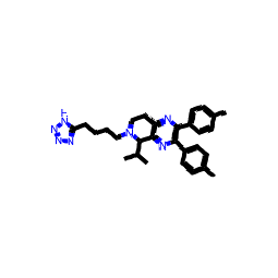 Cc1ccc(-c2nc3c(nc2-c2ccc(C)cc2)C(C(C)C)N(CCCCc2nnn[nH]2)CC3)cc1